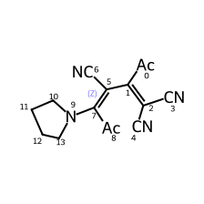 CC(=O)C(=C(C#N)C#N)/C(C#N)=C(\C(C)=O)N1CCCC1